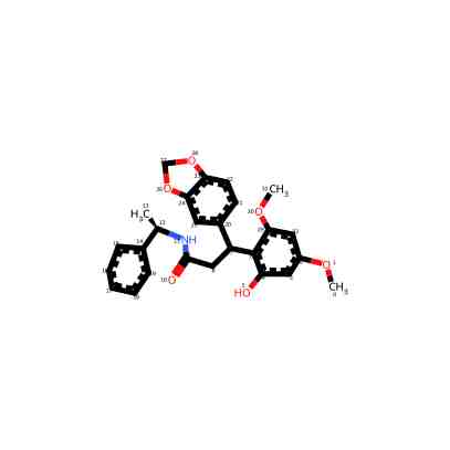 COc1cc(O)c(C(CC(=O)N[C@H](C)c2ccccc2)c2ccc3c(c2)OCO3)c(OC)c1